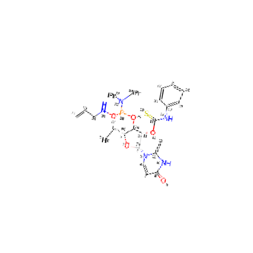 [2H]C[C@H]1O[C@@H](N2C=CC(=O)NC2=C)[C@@H](OC(=S)Nc2ccccc2)C1OP(ONCC=C)N(C(C)C)C(C)C